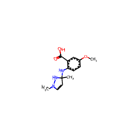 COc1ccc(NC2(C)C=CN(C)N2)c(C(=O)O)c1